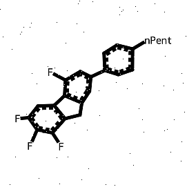 CCCCCc1ccc(-c2cc(F)c3c(c2)Cc2c-3cc(F)c(F)c2F)cc1